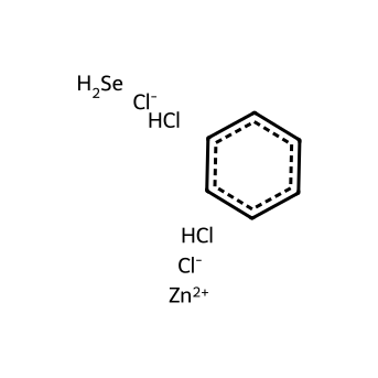 Cl.Cl.[Cl-].[Cl-].[SeH2].[Zn+2].c1ccccc1